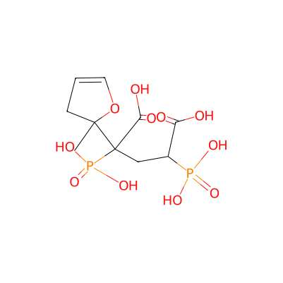 CC1(C(CC(C(=O)O)P(=O)(O)O)(C(=O)O)P(=O)(O)O)CC=CO1